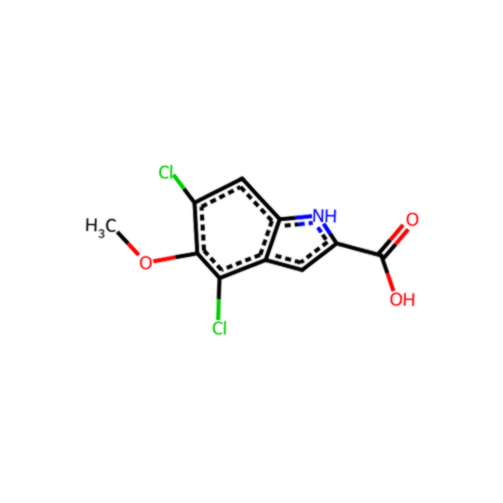 COc1c(Cl)cc2[nH]c(C(=O)O)cc2c1Cl